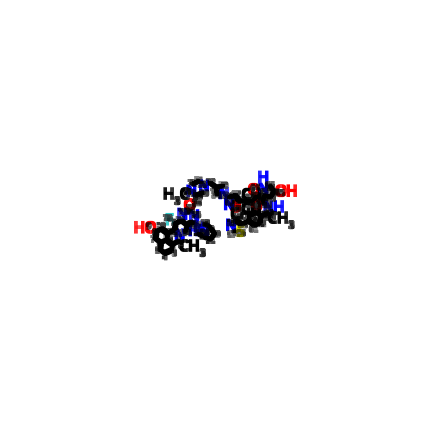 CCc1cccc2cc(O)cc(-c3ncc4c(N5CC6CCC(C5)N6)nc(OC[C@H]5CN(CC6CN(c7cc(C(C)(C)CC(=O)[C@@]8(C(=O)N[C@@H](C)c9ccc(-c%10scnc%10C)cc9)CC(O)CN8)on7)C6)CCN5C)nc4c3F)c12